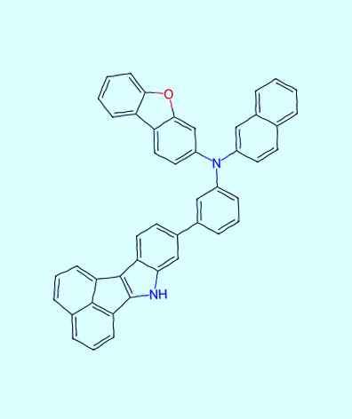 c1cc(-c2ccc3c4c([nH]c3c2)-c2cccc3cccc-4c23)cc(N(c2ccc3ccccc3c2)c2ccc3c(c2)oc2ccccc23)c1